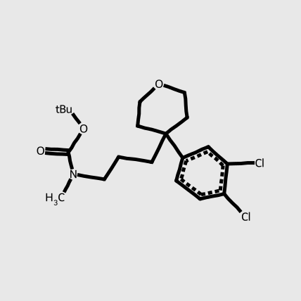 CN(CCCC1(c2ccc(Cl)c(Cl)c2)CCOCC1)C(=O)OC(C)(C)C